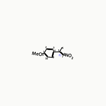 COc1ccc(/C(C)=C/[N+](=O)[O-])cc1